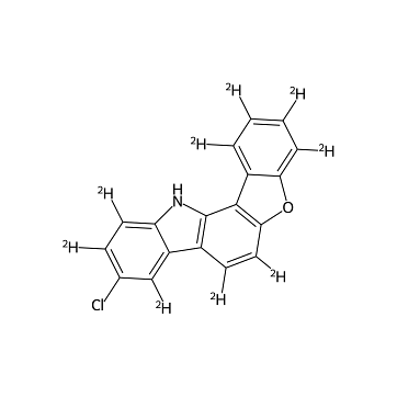 [2H]c1c(Cl)c([2H])c2c([nH]c3c2c([2H])c([2H])c2oc4c([2H])c([2H])c([2H])c([2H])c4c23)c1[2H]